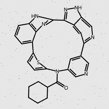 O=C(C1CCCCC1)n1c2cncc(c2)c2cc3c(cn2)[nH]nc3c2nc3c(cccc3c3ccc1s3)[nH]2